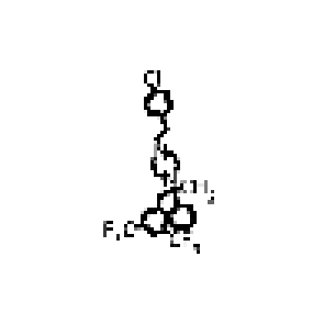 [CH2]C(Cc1cc(C(F)(F)F)cc(C(F)(F)F)c1)(c1ccccc1)N1CCN(CCc2ccc(Cl)cc2)CC1